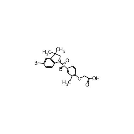 Cc1cc(S(=O)(=O)N2CC(C)(C)c3cc(Br)ccc32)ccc1OCC(=O)O